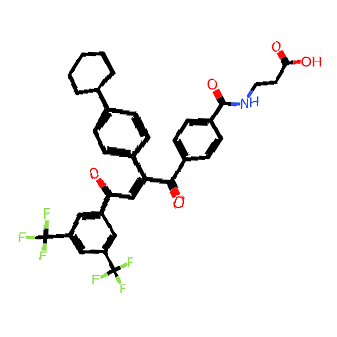 O=C(O)CCNC(=O)c1ccc(C(=O)C(=CC(=O)c2cc(C(F)(F)F)cc(C(F)(F)F)c2)c2ccc(C3CCCCC3)cc2)cc1